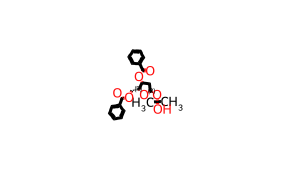 CC(C)(O)O[C@@H]1CC(OC(=O)c2ccccc2)[C@@H](COC(=O)c2ccccc2)O1